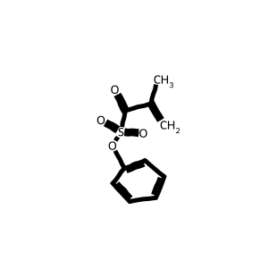 C=C(C)C(=O)S(=O)(=O)Oc1ccccc1